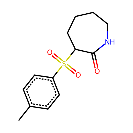 Cc1ccc(S(=O)(=O)C2CCCCNC2=O)cc1